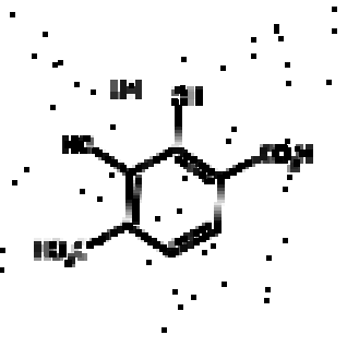 O=C(O)c1ccc(C(=O)O)c(O)c1O.[LiH]